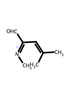 C/N=C(/C=O)C=C(C)C